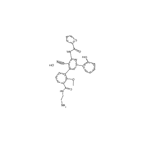 COc1c(C(=O)NCCN)cccc1-c1cc(-c2ccccc2O)nc(NC(=O)c2ccco2)c1C#N.Cl